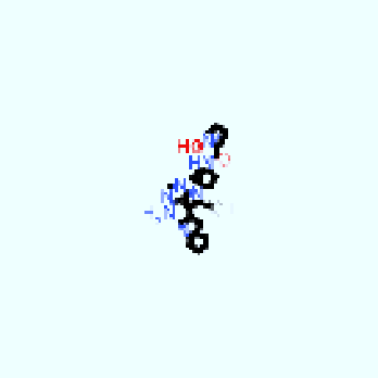 C#Cc1c(-c2cnc3ccccc3c2)c2c(N)ncnc2n1C12CCC(NC(=O)c3cccc[n+]3O)(CC1)C2